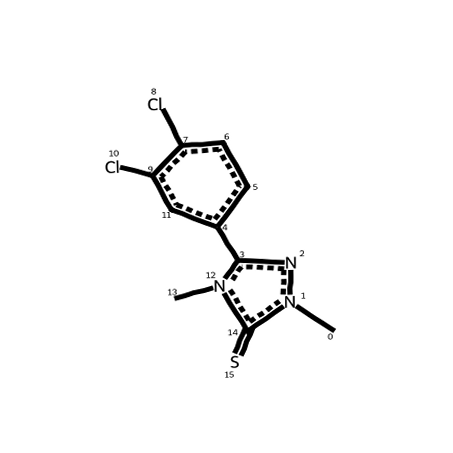 Cn1nc(-c2ccc(Cl)c(Cl)c2)n(C)c1=S